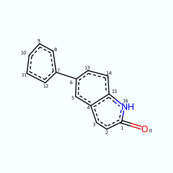 O=c1ccc2cc(-c3ccccc3)ccc2[nH]1